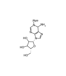 NC1c2ncn([C@@H]3O[C@H](CO)C(O)C3O)c2N=C[N]1[PbH]